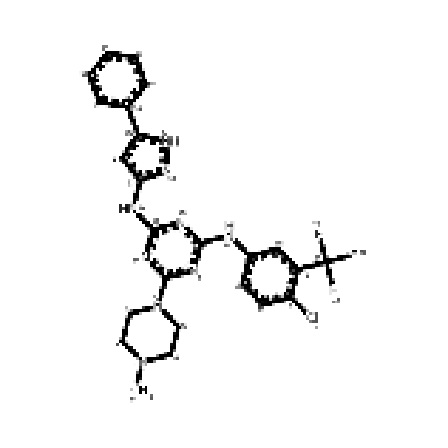 CN1CCN(c2nc(Nc3ccc(Cl)c(C(F)(F)F)c3)nc(Nc3cc(-c4ccccc4)[nH]n3)n2)CC1